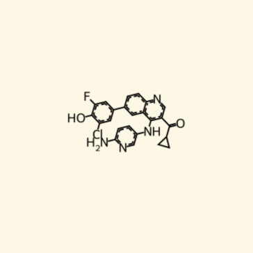 Nc1ccc(Nc2c(C(=O)C3CC3)cnc3ccc(-c4cc(F)c(O)c(Cl)c4)cc23)cn1